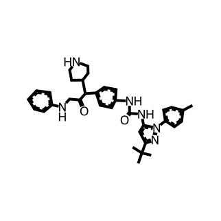 Cc1ccc(-n2nc(C(C)(C)C)cc2NC(=O)Nc2ccc(C(C(=O)CNc3ccccc3)C3CCNCC3)cc2)cc1